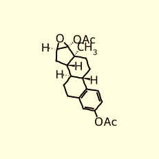 CC(=O)Oc1ccc2c(c1)CC[C@@H]1[C@@H]2CC[C@@]2(C)[C@H]1C[C@H]1O[C@]12OC(C)=O